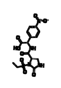 CCS(=O)(=O)N1C(=O)NCC1C(=O)NC(C(=O)O)c1ccc([N+](=O)[O-])cc1